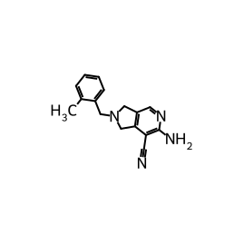 Cc1ccccc1CN1Cc2cnc(N)c(C#N)c2C1